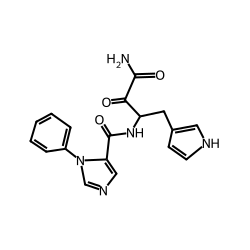 NC(=O)C(=O)C(Cc1cc[nH]c1)NC(=O)c1cncn1-c1ccccc1